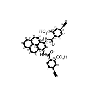 C#Cc1ccc(C(=O)Nc2cc(NC(=O)c3ccc(C#C)cc3C(=O)O)c3ccc4cccc5ccc2c3c54)c(C(=O)O)c1